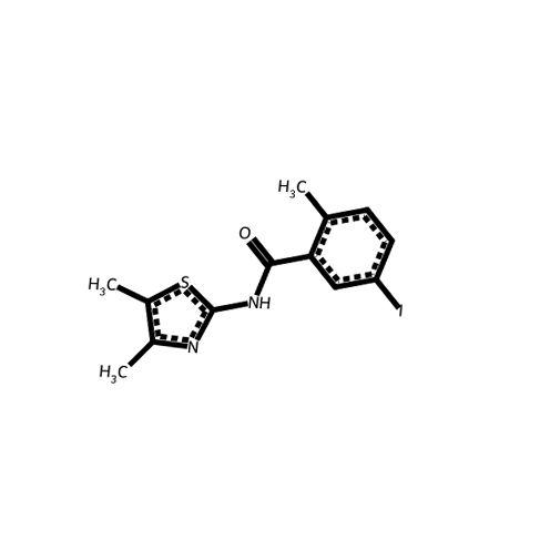 Cc1ccc(I)cc1C(=O)Nc1nc(C)c(C)s1